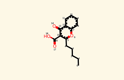 CCCCCc1oc2ccccc2c(=O)c1C(=O)O